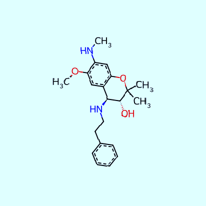 CNc1cc2c(cc1OC)[C@H](NCCc1ccccc1)[C@@H](O)C(C)(C)O2